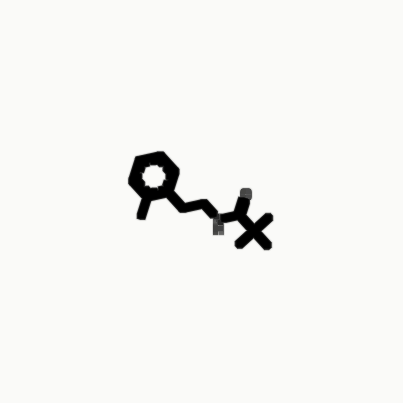 Cc1ccccc1CCNC(=O)C(C)(C)C